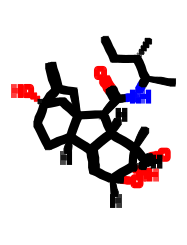 C=C1C[C@]23C[C@@]1(O)CC[C@H]2C1=C[C@H]2OC(=O)[C@@](C)([C@H]1[C@@H]3C(=O)N[C@H](C)[C@@H](C)CC)[C@H]2O